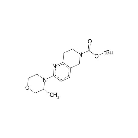 C[C@@H]1COCCN1c1ccc2c(n1)CCN(C(=O)OC(C)(C)C)C2